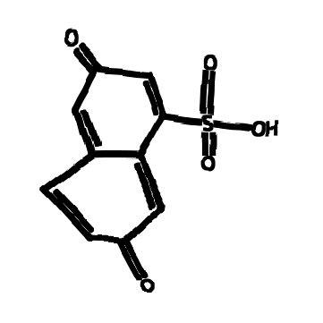 O=C1C=CC2=CC(=O)C=C(S(=O)(=O)O)C2=C1